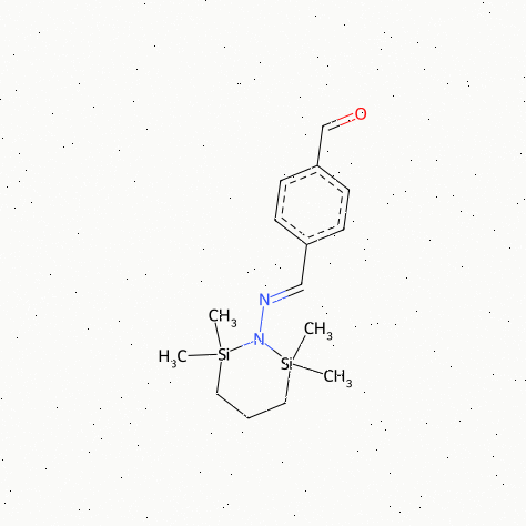 C[Si]1(C)CCC[Si](C)(C)N1N=Cc1ccc(C=O)cc1